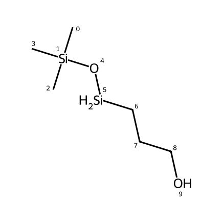 C[Si](C)(C)O[SiH2]CCCO